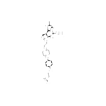 CC(=O)N(C)CCOc1ccc(N2CCN(CCn3ncc4c3nc(N)n3nc(C)nc43)CC2)cc1